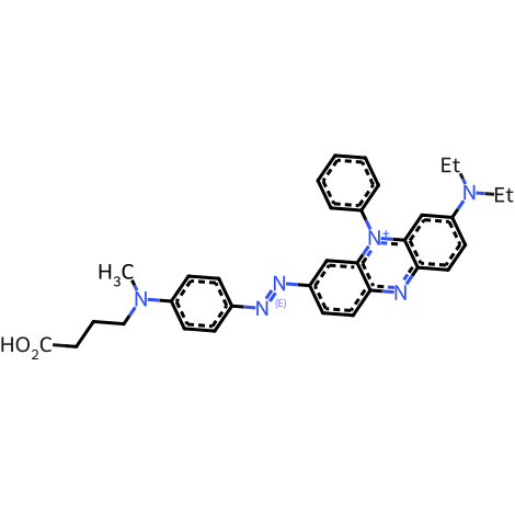 CCN(CC)c1ccc2nc3ccc(/N=N/c4ccc(N(C)CCCC(=O)O)cc4)cc3[n+](-c3ccccc3)c2c1